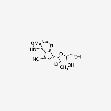 CONc1ncnc2c1c(C#N)cn2C1OC(CO)C(O)C1(C)O